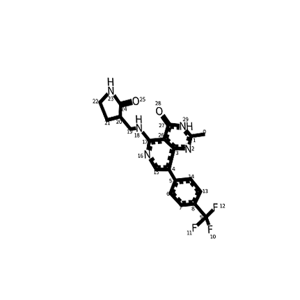 Cc1nc2c(-c3ccc(C(F)(F)F)cc3)cnc(NCC3CCNC3=O)c2c(=O)[nH]1